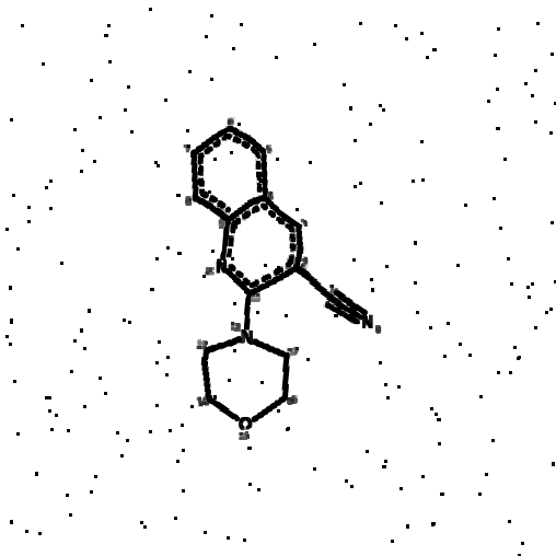 N#Cc1cc2ccccc2nc1N1CCOCC1